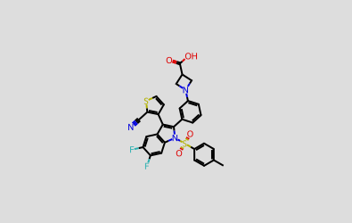 Cc1ccc(S(=O)(=O)n2c(-c3cccc(N4CC(C(=O)O)C4)c3)c(-c3ccsc3C#N)c3cc(F)c(F)cc32)cc1